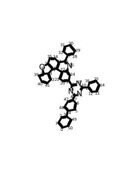 c1ccc(-c2ccc(-c3nc(-c4ccccc4)nc(-c4ccc5c(c4)nc(-c4ccccc4)c4ccc6oc7ccccc7c6c45)n3)cc2)cc1